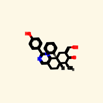 C[C@@H]1C(=O)/C(=C\O)C[C@]2(c3ccccc3)c3nc(-c4ccc(O)cc4)ncc3CC[C@@H]12